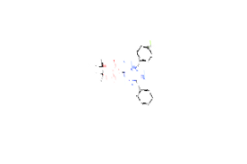 CC1(C)OB(c2nc(-c3ccccc3)nc(-c3ccc(F)cc3)n2)OC1(C)C